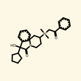 C[N+](C)(CC(=O)c1ccccc1)C1CCN(C(=O)C(O)(c2ccccc2)C2CCCC2)CC1